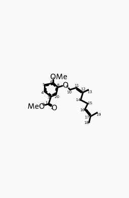 COC(=O)c1ccc(OC)c(OCC=C(C)CCC=C(C)C)c1